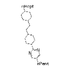 CCCCCCCC1CCC(CCC2CCC(c3ncc(CCCCC)cn3)CC2)CC1